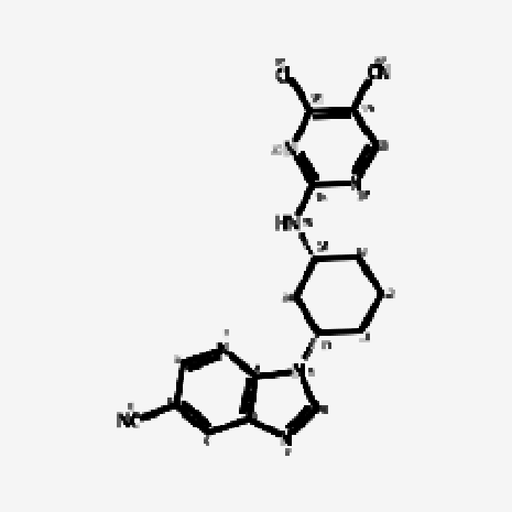 N#Cc1cnc2c(c1)ncn2[C@H]1CCC[C@@H](Nc2ncc(C#N)c(Cl)n2)C1